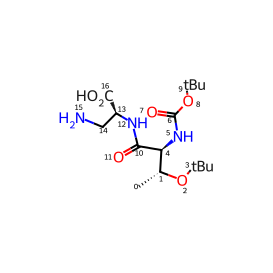 C[C@@H](OC(C)(C)C)[C@H](NC(=O)OC(C)(C)C)C(=O)N[C@@H](CN)C(=O)O